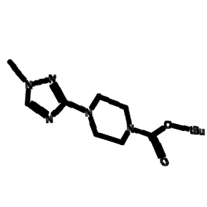 Cn1cnc(N2CCN(C(=O)OC(C)(C)C)CC2)n1